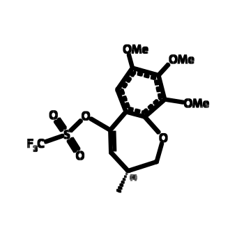 COc1cc2c(c(OC)c1OC)OC[C@H](C)C=C2OS(=O)(=O)C(F)(F)F